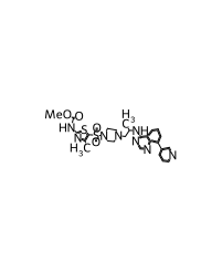 COC(=O)Nc1nc(C)c(S(=O)(=O)N2CCN(CC(C)Nc3ncnc4c(-c5cccnc5)cccc34)CC2)s1